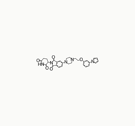 O=C1CCC(N2C(=O)c3ccc(N4CCN(CCOc5cccc(-n6cccc6)c5)CC4)cc3C2=O)C(=O)N1